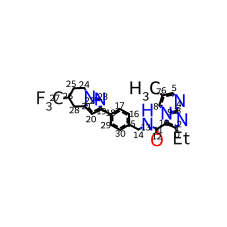 CCc1nc2ncc(C)cn2c1C(=O)NCc1ccc(-c2cc3n(n2)CCC(C(F)(F)F)C3)cc1